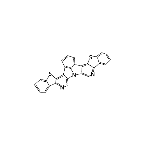 c1ccc2c(c1)sc1c2ncc2c1c1cccc3c4c5sc6ccccc6c5ncc4n2c13